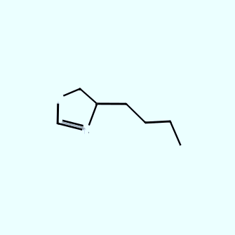 CCCCC1CO[C]=N1